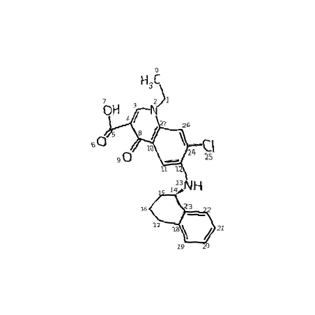 CCn1cc(C(=O)O)c(=O)c2cc(N[C@@H]3CCCc4ccccc43)c(Cl)cc21